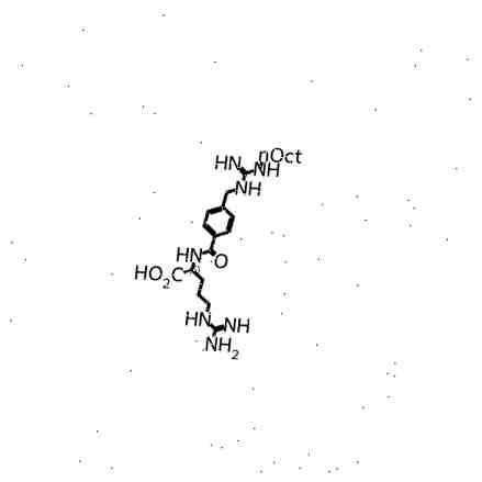 CCCCCCCCNC(=N)NCc1ccc(C(=O)N[C@@H](CCCNC(=N)N)C(=O)O)cc1